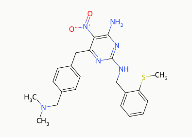 CSc1ccccc1CNc1nc(N)c([N+](=O)[O-])c(Cc2ccc(CN(C)C)cc2)n1